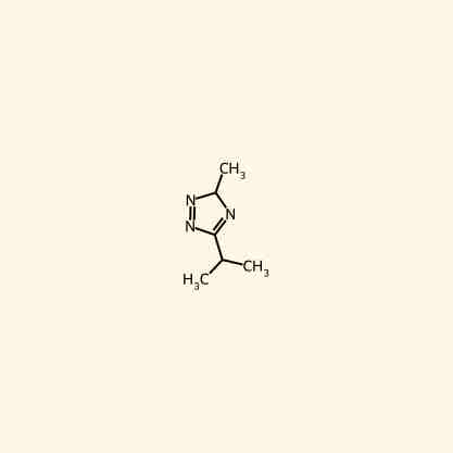 CC1N=NC(C(C)C)=N1